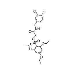 CCOc1cc(OCC)c(S(=O)(=O)OCC(=O)NCc2ccc(Cl)c(Cl)c2)c(OCC)c1